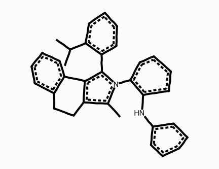 Cc1c2c(c(-c3ccccc3C(C)C)n1-c1ccccc1Nc1ccccc1)-c1ccccc1CC2